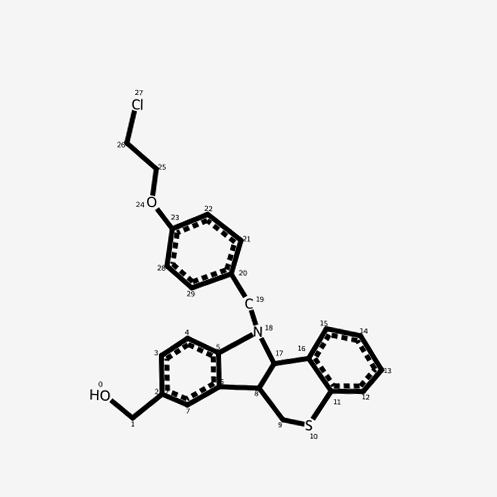 OCc1ccc2c(c1)C1CSc3ccccc3C1N2Cc1ccc(OCCCl)cc1